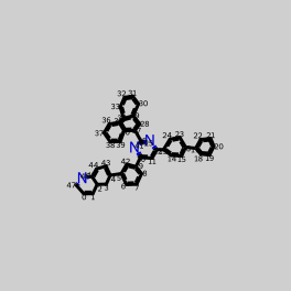 C1=CC2CC(c3cccc(-c4cc(-c5ccc(-c6ccccc6)cc5)nc(-c5cc6ccccc6c6ccccc56)n4)c3)=CC=C2N=C1